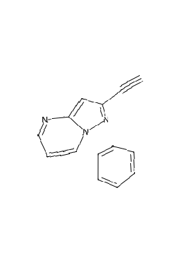 C#Cc1cc2ncccn2n1.c1ccccc1